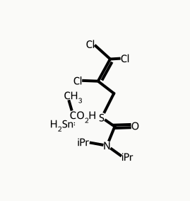 CC(=O)O.CC(C)N(C(=O)SCC(Cl)=C(Cl)Cl)C(C)C.[SnH2]